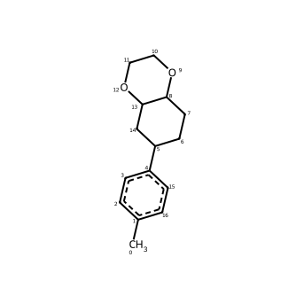 Cc1ccc(C2CCC3OCCOC3C2)cc1